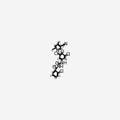 Cc1cc(C)c(C#N)c(Oc2c(Cl)cc(NC(=O)NC(=O)c3ccccc3Cl)cc2Cl)n1